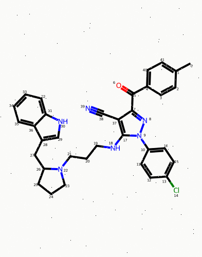 Cc1ccc(C(=O)c2nn(-c3ccc(Cl)cc3)c(NCCCN3CCCC3Cc3c[nH]c4ccccc34)c2C#N)cc1